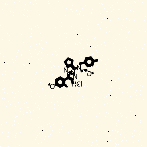 COCCN(Cc1ccc(C)cc1)c1c2c(nc3c(-c4ccc(OC)cc4C)c(C)nn13)CCC2.Cl